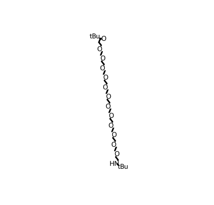 CC(C)(C)NCCOCCOCCOCCOCCOCCOCCOCCOCCOCCOCCOCCOCCC(=O)C(C)(C)C